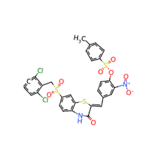 Cc1ccc(S(=O)(=O)Oc2ccc(/C=C3\Sc4cc(S(=O)(=O)Cc5c(Cl)cccc5Cl)ccc4NC3=O)cc2[N+](=O)[O-])cc1